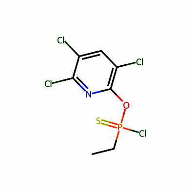 CCP(=S)(Cl)Oc1nc(Cl)c(Cl)cc1Cl